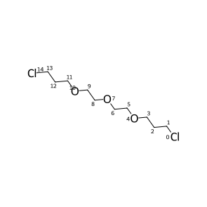 ClCCCOCCOCCOCCCCl